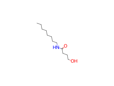 CCCCCCCCNC(=O)CCCO